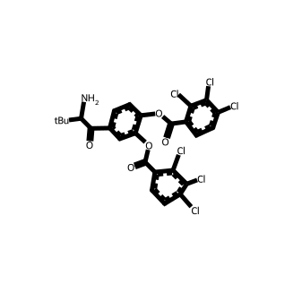 CC(C)(C)C(N)C(=O)c1ccc(OC(=O)c2ccc(Cl)c(Cl)c2Cl)c(OC(=O)c2ccc(Cl)c(Cl)c2Cl)c1